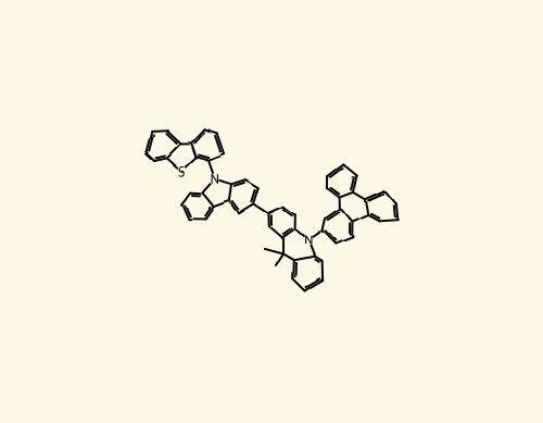 CC1(C)c2ccccc2N(c2ccc3c4ccccc4c4ccccc4c3c2)c2ccc(-c3ccc4c(c3)c3ccccc3n4-c3cccc4c3sc3ccccc34)cc21